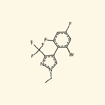 CCn1cc(-c2c(F)cc(F)cc2Br)c(C(F)(F)F)n1